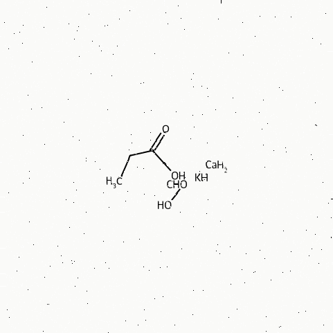 CCC(=O)O.O=CO.[CaH2].[KH]